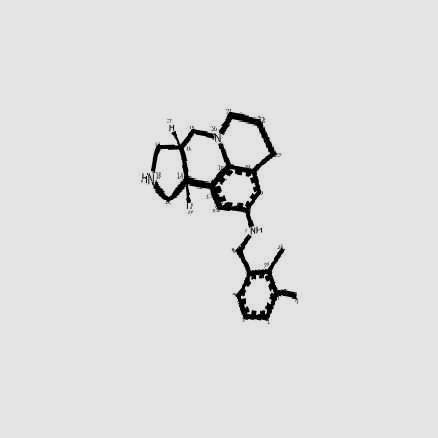 Cc1cccc(CNc2cc3c4c(c2)[C@@H]2CNC[C@@H]2CN4CCC3)c1C